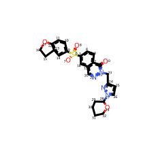 O=c1c2ccc(S(=O)(=O)c3ccc4c(c3)CCO4)cc2cnn1Cc1ccn(C2CCCCO2)n1